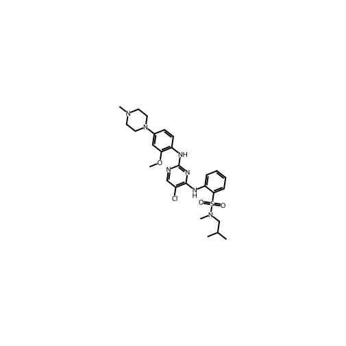 COc1cc(N2CCN(C)CC2)ccc1Nc1ncc(Cl)c(Nc2ccccc2S(=O)(=O)N(C)CC(C)C)n1